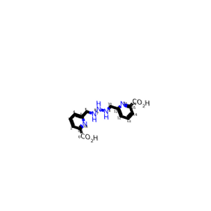 O=C(O)c1cccc(CNNNCc2cccc(C(=O)O)n2)n1